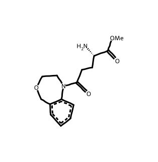 COC(=O)[C@@H](N)CCC(=O)N1CCOCc2ccccc21